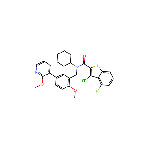 COc1ccc(-c2cccnc2OC)cc1CN(C(=O)c1sc2cccc(F)c2c1Cl)C1CCCCC1